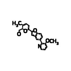 COc1cccnc1-c1ccc2oc(C3=CC=C(C)C(C=O)O3)cc2c1